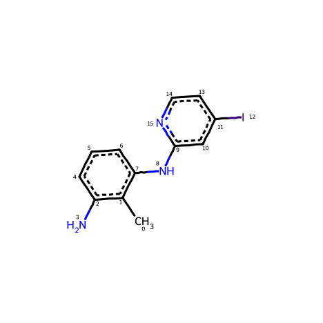 Cc1c(N)cccc1Nc1cc(I)ccn1